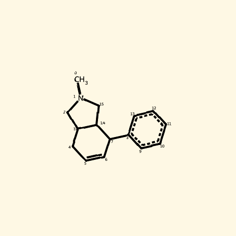 CN1CC2CC=CC(c3ccccc3)C2C1